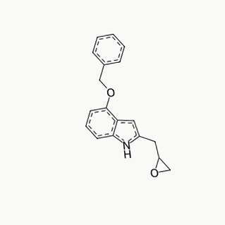 c1ccc(COc2cccc3[nH]c(CC4CO4)cc23)cc1